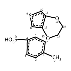 Cc1ccc(S(=O)(=O)O)cc1.c1scc2c1OCCO2